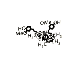 COc1cc(CCC[Si](C)(C)O[Si](C)(C)CC(C)C2CCC(C)C([Si](C)(C)O[Si](C)(C)CCCc3ccc(O)c(OC)c3)C2)ccc1O